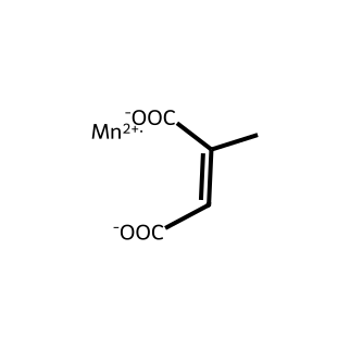 C/C(=C/C(=O)[O-])C(=O)[O-].[Mn+2]